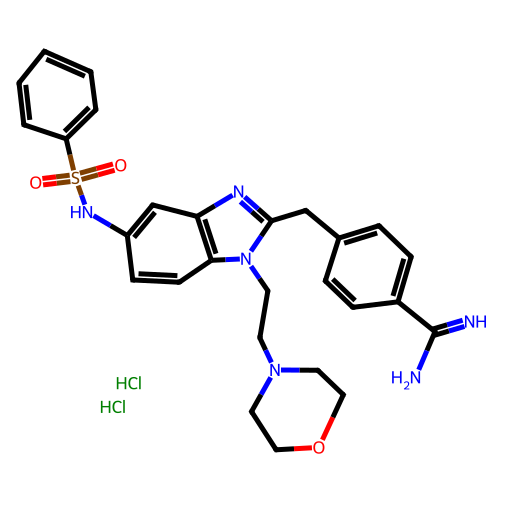 Cl.Cl.N=C(N)c1ccc(Cc2nc3cc(NS(=O)(=O)c4ccccc4)ccc3n2CCN2CCOCC2)cc1